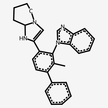 Cc1c(-c2ccccc2)ccc(C2=CN3CCCCC3N2)c1-n1cnc2ccccc21